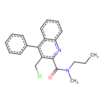 CCCN(C)C(=O)c1nc2ccccc2c(-c2ccccc2)c1CCl